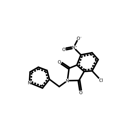 O=C1c2c(Cl)ccc([N+](=O)[O-])c2C(=O)N1Cc1cccnc1